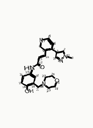 Cn1cc(-c2ccncc2C=CC(=O)Nc2ccc(O)c(CN3CCOCC3)c2)cn1